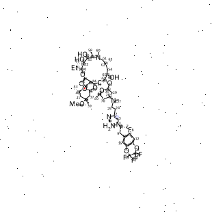 C=N/C(=C\N(N)[C@H](CF)Cc1ccc2c(c1)OC(F)(F)C(F)(F)O2)CCN(C)[C@@H]1C[C@H](O[C@@H]2C[C@H](O[C@H]3C[C@@](C)(OC)C[C@H](C)O3)[C@@H](C)C(=O)O[C@H](CC)[C@@](C)(O)[C@H](O)[C@@H](C)N(C)C[C@H](C)C[C@H]2O)O[C@H](C)C1